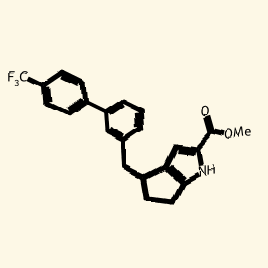 COC(=O)c1cc2c([nH]1)CCC2Cc1cccc(-c2ccc(C(F)(F)F)cc2)c1